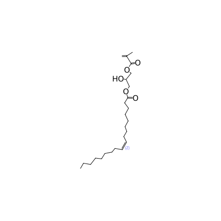 C=C(C)C(=O)OCC(O)COC(=O)CCCCCCC/C=C\CCCCCCCC